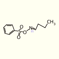 CCC/C=N/OS(=O)(=O)c1ccccc1